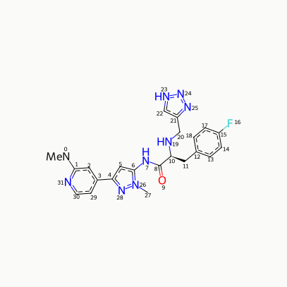 CNc1cc(-c2cc(NC(=O)[C@H](Cc3ccc(F)cc3)NCc3c[nH]nn3)n(C)n2)ccn1